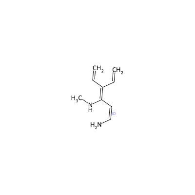 C=CC(C=C)=C(/C=C\N)NC